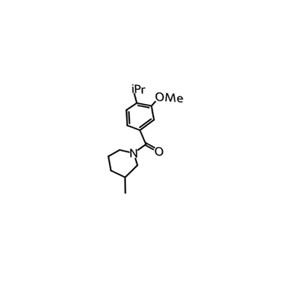 COc1cc(C(=O)N2CCCC(C)C2)ccc1C(C)C